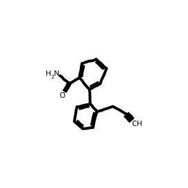 C#CCc1ccccc1-c1ccccc1C(N)=O